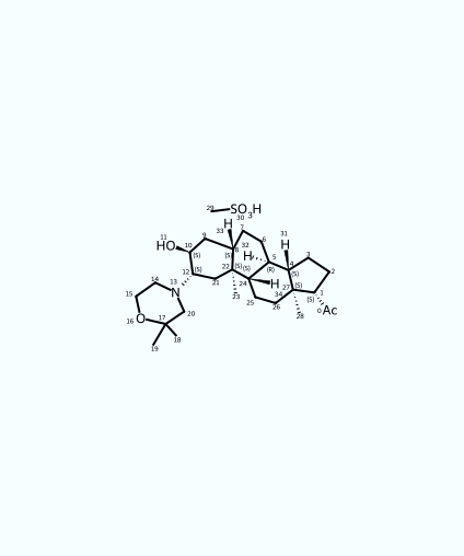 CC(=O)[C@H]1CC[C@H]2[C@@H]3CC[C@H]4C[C@H](O)[C@@H](N5CCOC(C)(C)C5)C[C@]4(C)[C@H]3CC[C@]12C.CS(=O)(=O)O